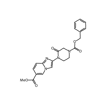 COC(=O)c1ccc2nc(N3CCN(C(=O)OCc4ccccc4)CC3=O)cn2c1